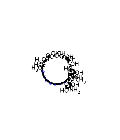 CNC(=O)C1[C@@H]2CC(O[C@@H]3OC[C@@H](O)[C@H](N)[C@@H]3O)/C=C/C=C/C=C/C=C/C=C/C=C/C=C/[C@H](C)[C@@H](O)C[C@H](C)OC(=O)CC(O)CC(O)CCC(O)C(O)CC(O)CC(O)(C[C@@H]1O)O2